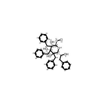 OC(Cc1ccccc1)[C@H]1O[C@H](OCl)[C@](O)(Cc2ccccc2)[C@](O)(Cc2ccccc2)[C@@]1(O)Cc1ccccc1